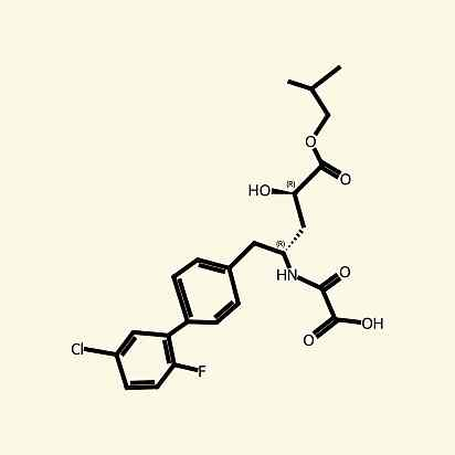 CC(C)COC(=O)[C@H](O)C[C@@H](Cc1ccc(-c2cc(Cl)ccc2F)cc1)NC(=O)C(=O)O